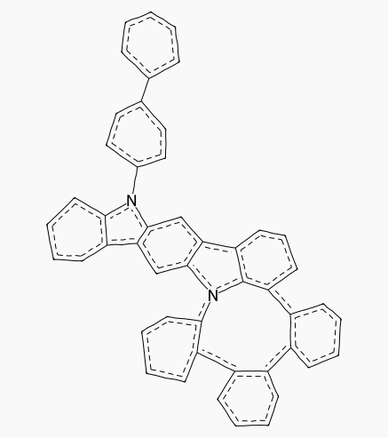 c1ccc(-c2ccc(-n3c4ccccc4c4cc5c(cc43)c3cccc4c6ccccc6c6ccccc6c6ccccc6n5c43)cc2)cc1